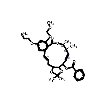 COCOc1cc(OCCN)cc2c1C(=O)O[C@@H](C)[C@H](C)/C=C\C(OC(=O)c1ccccc1)C1OC(C)(C)OC1C/C=C/2